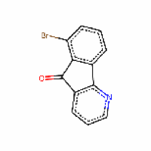 O=C1c2cccnc2-c2cccc(Br)c21